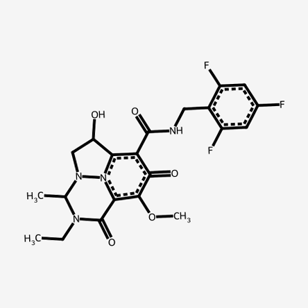 CCN1C(=O)c2c(OC)c(=O)c(C(=O)NCc3c(F)cc(F)cc3F)c3n2N(CC3O)C1C